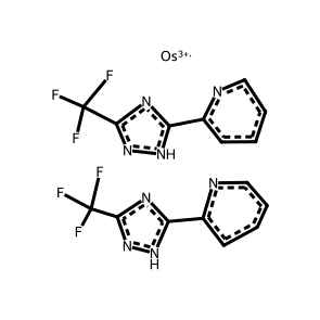 FC(F)(F)c1n[nH]c(-c2ccccn2)n1.FC(F)(F)c1n[nH]c(-c2ccccn2)n1.[Os+3]